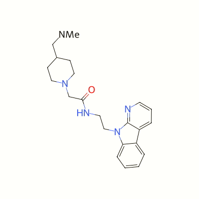 CNCC1CCN(CC(=O)NCCn2c3ccccc3c3cccnc32)CC1